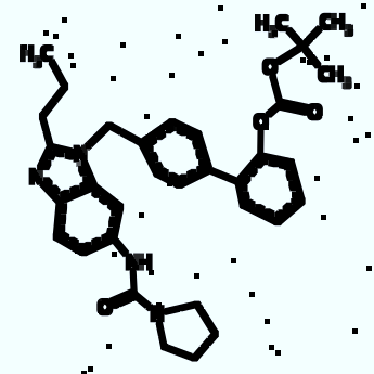 CCCc1nc2ccc(NC(=O)N3CCCC3)cc2n1Cc1ccc(-c2ccccc2OC(=O)OC(C)(C)C)cc1